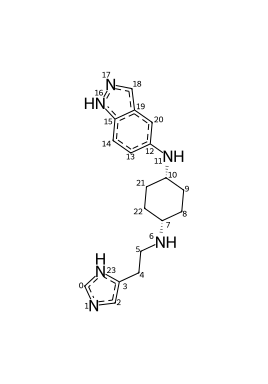 c1ncc(CCN[C@H]2CC[C@@H](Nc3ccc4[nH]ncc4c3)CC2)[nH]1